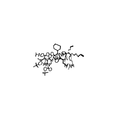 C=CCCCC[C@@H](OC[C@@H](C)N)[C@@H](CCC=C)C(=O)N(C)[C@@H](CC(C)C)C(=O)N[C@H](C(=O)N[C@@H](CNC(=O)OC(C)(C)C)C(=O)N[C@H](C(=O)O)[C@H](C)OC(C)(C)C)C1CCCCC1